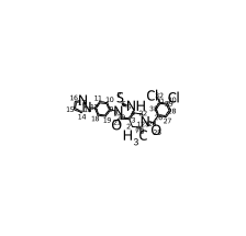 C[C@@H]1Cc2c([nH]c(=S)n(-c3ccc(-n4cccn4)cc3)c2=O)CN1C(=O)c1ccc(Cl)c(Cl)c1